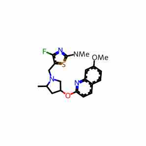 CNc1nc(F)c(CN2CC(Oc3ccc4ccc(OC)cc4n3)CC2C)s1